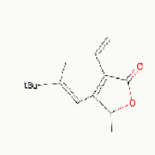 C=CC1=C(/C=C(\C)C(C)(C)C)C(C)OC1=O